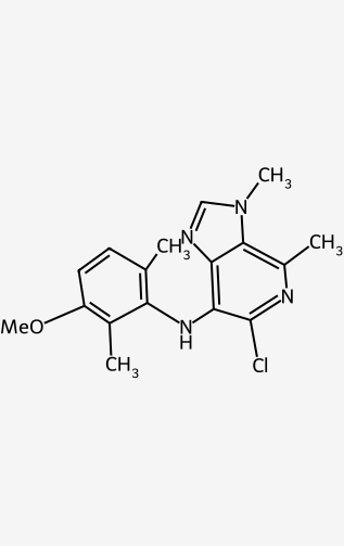 COc1ccc(C)c(Nc2c(Cl)nc(C)c3c2ncn3C)c1C